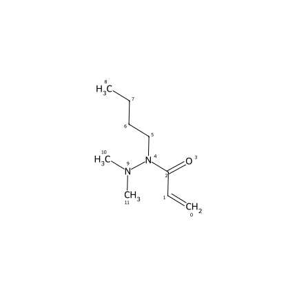 C=CC(=O)N(CCCC)N(C)C